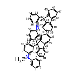 CN(c1ccccc1)c1ccc2c(c1)C1(c3ccccc3-c3ccccc31)c1cc(N(c3ccccc3)c3cccc4c3Cc3ccccc3-4)ccc1-2